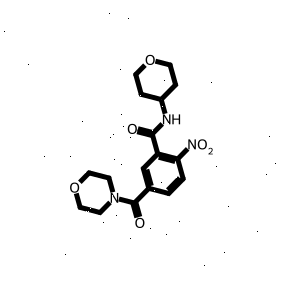 O=C(NC1CCOCC1)c1cc(C(=O)N2CCOCC2)ccc1[N+](=O)[O-]